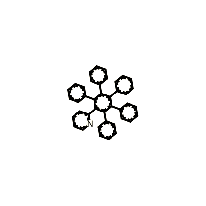 c1ccc(-c2c(-c3ccccc3)c(-c3ccccc3)c(-c3ccccn3)c(-c3ccccc3)c2-c2ccccc2)cc1